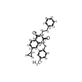 Cc1ccc(Cn2c(=O)n(CCc3ccccc3)c(=O)c3ccc(C4CC4)cc32)cc1